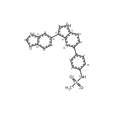 CS(=O)(=O)Nc1ccc(-c2cnc3[nH]cc(-c4ccc5ncsc5c4)c3n2)cc1